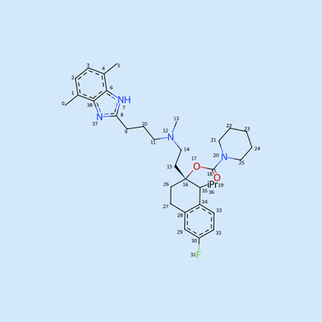 Cc1ccc(C)c2[nH]c(CCCN(C)CC[C@]3(OC(=O)N4CCCCC4)CCc4cc(F)ccc4C3C(C)C)nc12